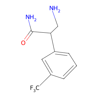 NCC(C(N)=O)c1cccc(C(F)(F)F)c1